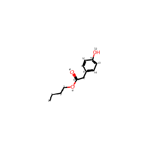 CCCCOC(=O)Cc1ccc(O)cc1